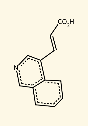 O=C(O)/C=C/c1cncc2ccccc12